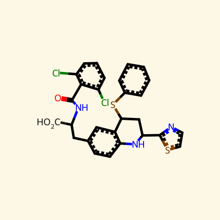 O=C(NC(Cc1ccc2c(c1)C(Sc1ccccc1)CC(c1nccs1)N2)C(=O)O)c1c(Cl)cccc1Cl